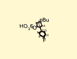 CCCCN1CC(OC(=O)O)C(c2ccc(F)cc2)C1